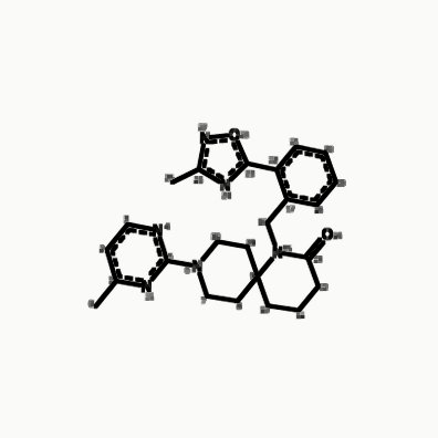 Cc1ccnc(N2CCC3(CCCC(=O)N3Cc3ccccc3-c3nc(C)no3)CC2)n1